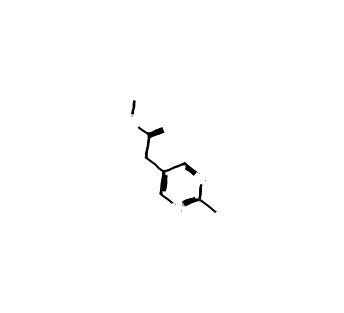 COC(=O)Cc1cnc(C)nc1